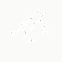 C=CC(=O)N(C)C.C=Cc1ccccn1